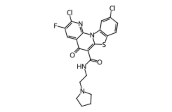 O=C(NCCN1CCCC1)c1c(=O)c2cc(F)c(Cl)nc2n2c1sc1ccc(Cl)cc12